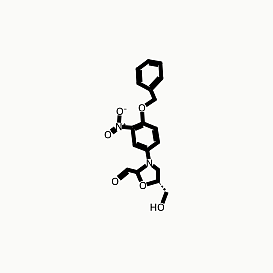 O=CC1O[C@@H](CO)CN1c1ccc(OCc2ccccc2)c([N+](=O)[O-])c1